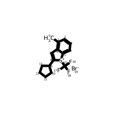 Cc1cccc2c1cc(C1CCCC1)[s+]2C(F)(F)F.[Br-]